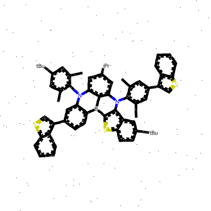 Cc1cc(C(C)(C)C)cc(C)c1N1c2cc(-c3csc4ccccc34)ccc2B2c3sc4ccc(C(C)(C)C)cc4c3N(c3c(C)cc(-c4csc5ccccc45)cc3C)c3cc(C(C)C)cc1c32